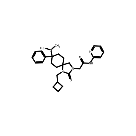 CN(C)C1(c2ccccc2)CCC2(CC1)CN(CC(=O)Nc1ccccn1)C(=O)N2CC1CCC1